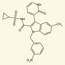 Cc1ccc2c(c1)c(-c1ccc[nH]c1=O)c(C(=O)NS(=O)(=O)C1CC1)n2Cc1cccc([N+](=O)[O-])c1